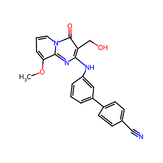 COc1cccn2c(=O)c(CO)c(Nc3cccc(-c4ccc(C#N)cc4)c3)nc12